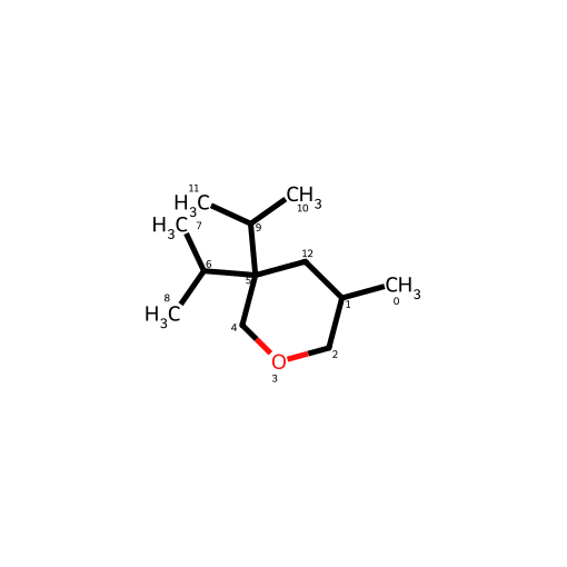 CC1COCC(C(C)C)(C(C)C)C1